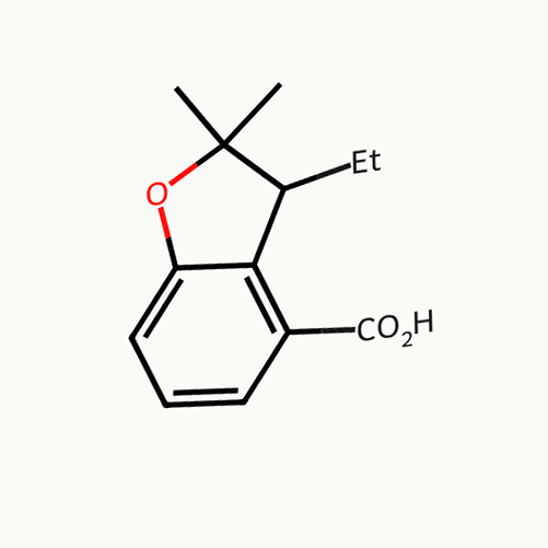 CCC1c2c(cccc2C(=O)O)OC1(C)C